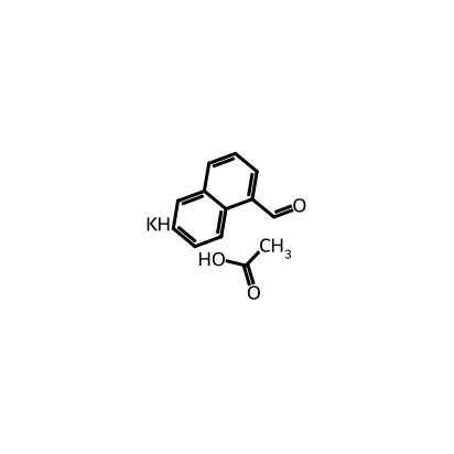 CC(=O)O.O=Cc1cccc2ccccc12.[KH]